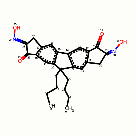 CCCCC1(CCCC)c2cc3c(cc2-c2cc4c(cc21)C(=O)/C(=N/O)C4)C(=O)/C(=N\O)C3